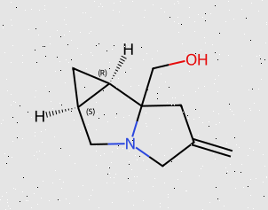 C=C1CN2C[C@H]3C[C@H]3C2(CO)C1